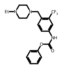 CCN1CCN(Cc2ccc(NC(=O)Oc3ccccc3)cc2C(F)(F)F)CC1